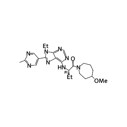 CC[C@@H](Nc1ncnc2c1nc(-c1cnc(C)nc1)n2CC)C(=O)N1CCCC(OC)CC1